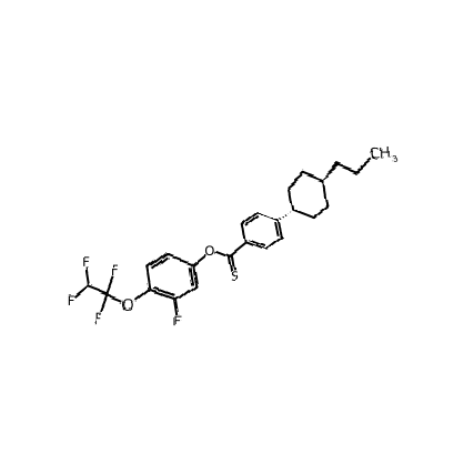 CCC[C@H]1CC[C@H](c2ccc(C(=S)Oc3ccc(OC(F)(F)C(F)F)c(F)c3)cc2)CC1